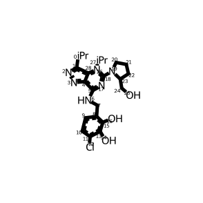 CC(C)c1nnc2c(NCc3ccc(Cl)c(O)c3O)nc(N3CCCC3CO)n(C(C)C)c1-2